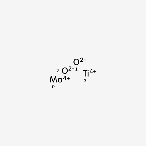 [Mo+4].[O-2].[O-2].[Ti+4]